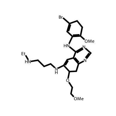 CCNCCCNC1=Cc2c(ncnc2NC2=C(OC)CCC(Br)=C2)CC1OCCOC